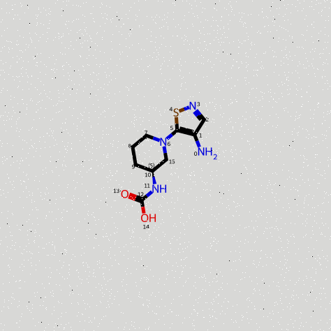 Nc1cnsc1N1CCC[C@H](NC(=O)O)C1